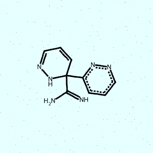 N=C(N)C1(c2cccnn2)C=CC=NN1